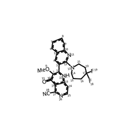 COc1c(-c2cc3ccccc3nc2N2CCCC(F)(F)CC2)[nH]c2ccnc(C#N)c2c1=O